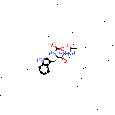 CC(=O)NNC(=O)[C@H](Cc1c[nH]c2ccccc12)NC(=O)O